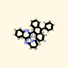 c1ccc(-c2c3ccccc3c(-c3nc4ccccc4c4nc5ccccn5c34)c3ccccc23)cc1